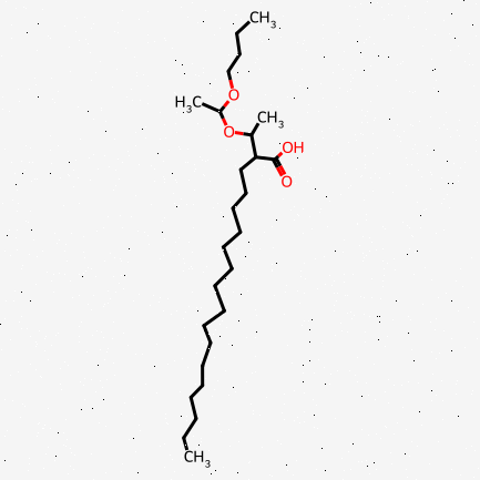 CCCCCCCCCCCCCCCCC(C(=O)O)C(C)OC(C)OCCCC